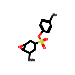 CCC(C)c1ccc(OS(=O)(=O)C2CC(OC)C3OC3C2)cc1